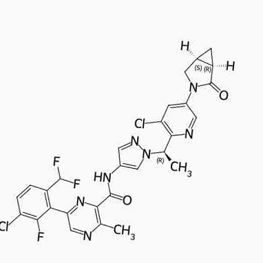 Cc1ncc(-c2c(C(F)F)ccc(Cl)c2F)nc1C(=O)Nc1cnn([C@H](C)c2ncc(N3C[C@H]4C[C@H]4C3=O)cc2Cl)c1